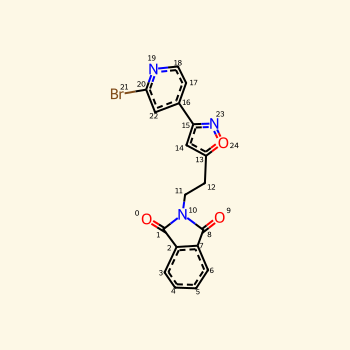 O=C1c2ccccc2C(=O)N1CCc1cc(-c2ccnc(Br)c2)no1